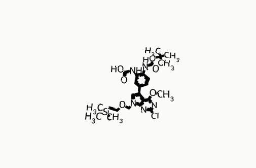 COc1nc(Cl)nc2c1c(-c1ccc(NC(=O)OC(C)(C)C)c(NC(=O)O)c1)cn2COCC[Si](C)(C)C